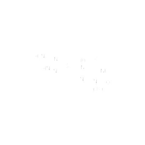 CCCCn1c(=O)[nH]c(=O)c2c1nc(CSc1n[nH]c(N)n1)n2C(C)C